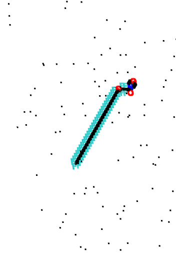 O=C(N1CCOCC1)C(F)(F)C(F)(F)OC(F)(F)C(F)(F)C(F)(F)C(F)(F)C(F)(F)C(F)(F)C(F)(F)C(F)(F)C(F)(F)C(F)(F)C(F)(F)C(F)(F)C(F)(F)C(F)(F)C(F)(F)C(F)(F)C(F)(F)C(F)(F)C(F)(F)C(F)(F)C(F)(F)C(F)(F)C(F)(F)C(F)(F)C(F)(F)C(F)(F)C(F)(F)F